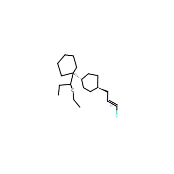 CCCC(CC)C1([C@H]2CC[C@H](C/C=C/F)CC2)CCCCC1